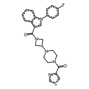 O=C(c1cscn1)N1CCN(C2CN(C(=O)c3cn(-c4ccc(F)cc4)c4ccccc34)C2)CC1